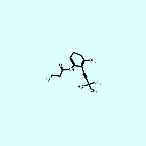 BC1=C(C#CC(C)(C)C)C(NC(=O)CCC)=CCC1